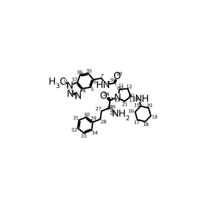 Cn1nnc2cc(CNC(=O)[C@@H]3C[C@H](NC4CCCCC4)CN3C(=O)[C@H](N)CCc3ccccc3)ccc21